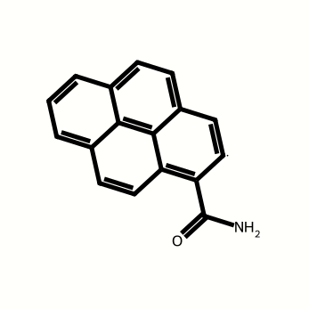 NC(=O)c1[c]cc2ccc3cccc4ccc1c2c34